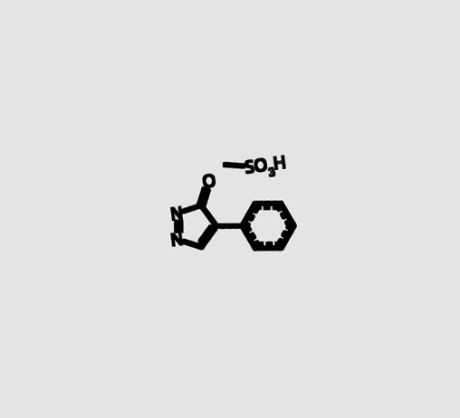 CS(=O)(=O)O.O=C1N=NC=C1c1ccccc1